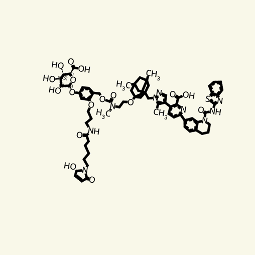 Cc1c(-c2ccc(-c3ccc4c(c3)N(C(=O)Nc3nc5ccccc5s3)CCC4)nc2C(=O)O)cnn1CC12CC3(C)CC(C)(C1)CC(OCCN(C)C(=O)OCc1ccc(O[C@@H]4O[C@H](C(=O)O)[C@@H](O)[C@H](O)[C@H]4O)cc1OCCCNC(=O)CCCCCN1C(=O)C=CC1O)(C3)C2